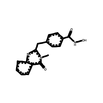 Cn1c(Cc2ccc(C(=O)NO)cc2)nc2ccccc2c1=O